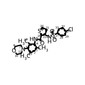 Cc1cc(C)c(N2CCOCC2)c(C)c1NC(=O)c1sccc1NS(=O)(=O)c1ccc(Cl)cc1